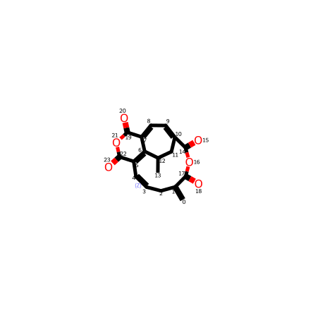 C=C1C/C=C\C2=C3C(=CC=C(CC3C)C(=O)OC1=O)C(=O)OC2=O